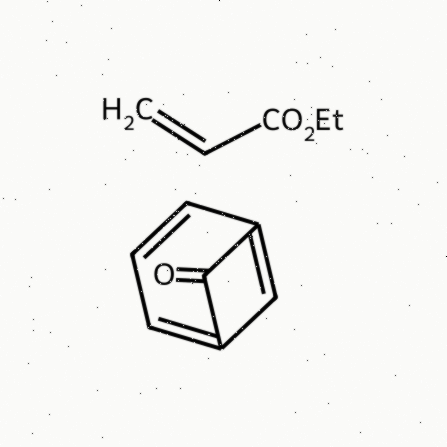 C=CC(=O)OCC.O=C1c2cccc1c2